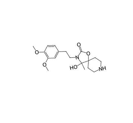 COc1ccc(CCN2C(=O)OC3(CCNCC3)C2(C)O)cc1OC